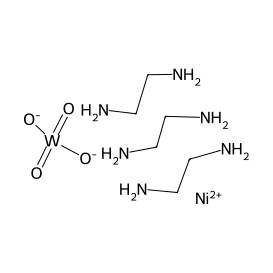 NCCN.NCCN.NCCN.[Ni+2].[O]=[W](=[O])([O-])[O-]